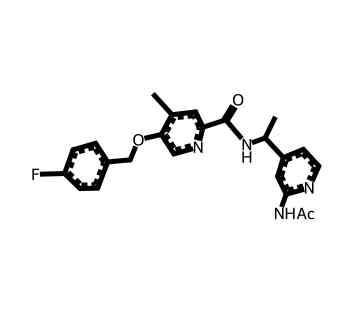 CC(=O)Nc1cc(C(C)NC(=O)c2cc(C)c(OCc3ccc(F)cc3)cn2)ccn1